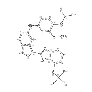 COc1cc(Nc2ccc3ncc(-c4cc5cccc(OC(F)(F)F)c5s4)n3n2)ccc1OC(F)F